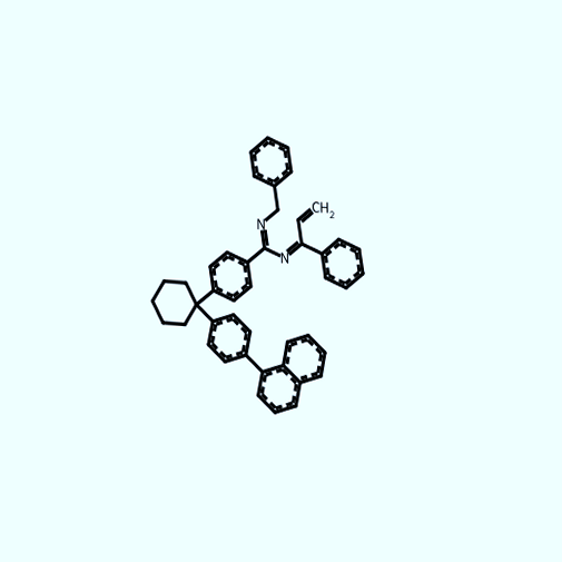 C=C/C(=N\C(=N/Cc1ccccc1)c1ccc(C2(c3ccc(-c4cccc5ccccc45)cc3)CCCCC2)cc1)c1ccccc1